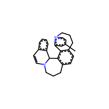 Cc1cc[n+]2c(c1)-c1c(ccc3c1C1c4ccccc4C=CN1CCC3)CCC2